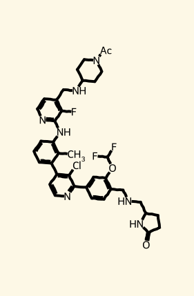 CC(=O)N1CCC(NCc2ccnc(Nc3cccc(-c4ccnc(-c5ccc(CNCC6CCC(=O)N6)c(OC(F)F)c5)c4Cl)c3C)c2F)CC1